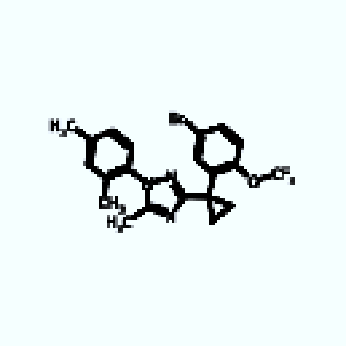 Cc1ccc(-n2nc(C3(c4cc(Br)ccc4OC(F)(F)F)CC3)nc2C)c(C)c1